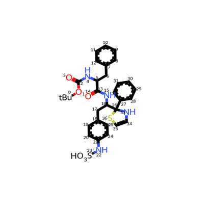 CC(C)(C)OC(=O)NC(Cc1ccccc1)C(=O)NC(Cc1ccc(NS(=O)(=O)O)cc1)C1(c2ccccc2)NC=CS1